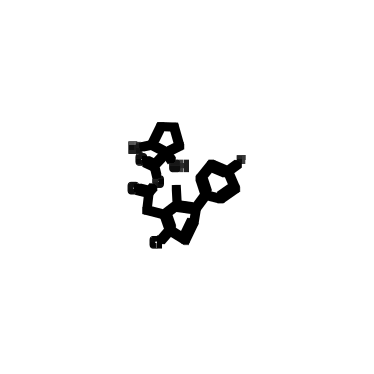 CCC1CCCC1(O)C(=O)OC(=O)Cc1c(Cl)ccc(-c2ccc(F)cc2)c1C